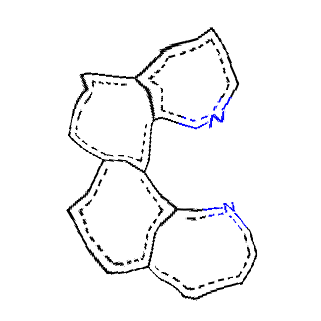 c1cnc2c(c1)ccc1ccc3cccnc3c12